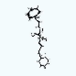 O=C(NCCCC1CCCCCC1)OCCc1ccccc1